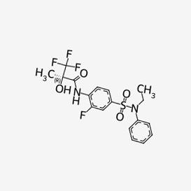 CCN(c1ccccc1)S(=O)(=O)c1ccc(NC(=O)[C@@](C)(O)C(F)(F)F)c(F)c1